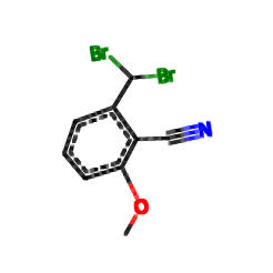 COc1cccc(C(Br)Br)c1C#N